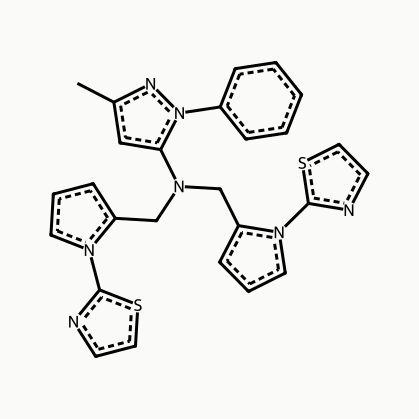 Cc1cc(N(Cc2cccn2-c2nccs2)Cc2cccn2-c2nccs2)n(-c2ccccc2)n1